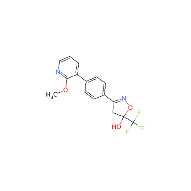 COc1ncccc1-c1ccc(C2=NOC(O)(C(F)(F)F)C2)cc1